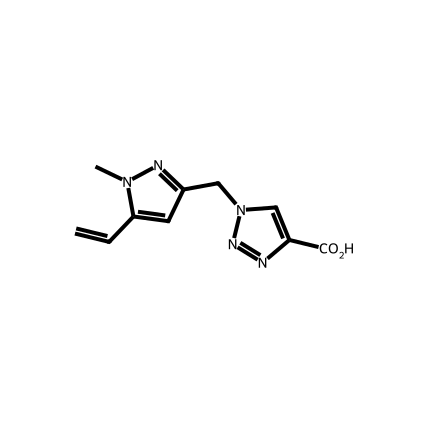 C=Cc1cc(Cn2cc(C(=O)O)nn2)nn1C